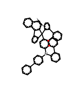 c1ccc(-c2ccc(N(c3ccc4c(c3)-c3ccccc3-c3ccccc3C43c4ccccc4-c4c3c3ccccc3c3ccccc43)c3ccccc3-c3ccccc3)cc2)cc1